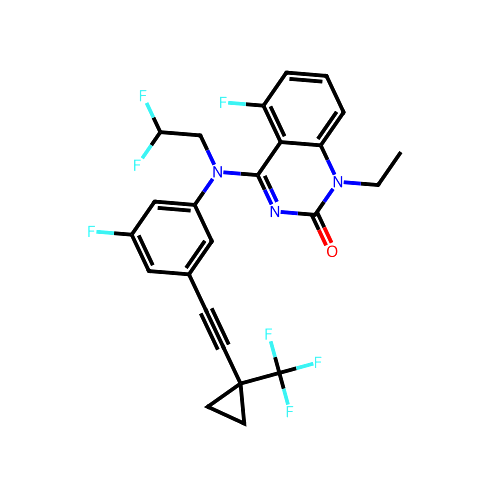 CCn1c(=O)nc(N(CC(F)F)c2cc(F)cc(C#CC3(C(F)(F)F)CC3)c2)c2c(F)cccc21